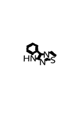 c1ccc2c(c1)[nH]c1nc3sccn3c12